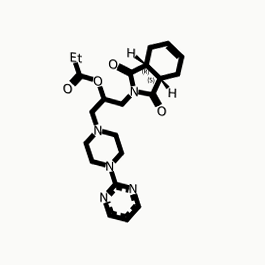 CCC(=O)OC(CN1CCN(c2ncccn2)CC1)CN1C(=O)[C@H]2CC=CC[C@H]2C1=O